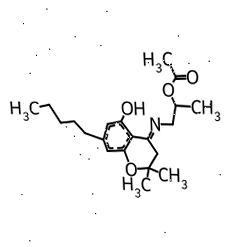 CCCCCc1cc(O)c2c(c1)OC(C)(C)CC2=NCC(C)OC(C)=O